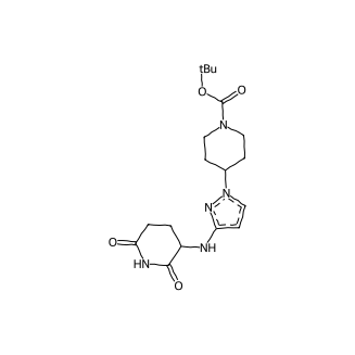 CC(C)(C)OC(=O)N1CCC(n2ccc(NC3CCC(=O)NC3=O)n2)CC1